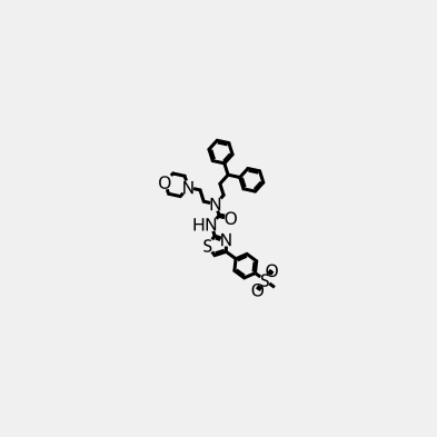 CS(=O)(=O)c1ccc(-c2csc(NC(=O)N(CCC(c3ccccc3)c3ccccc3)CCN3CCOCC3)n2)cc1